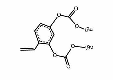 C=Cc1ccc(OC(=O)OC(C)(C)C)cc1OC(=O)OC(C)(C)C